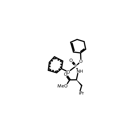 COC(=O)[C@H](CC(C)C)NP(=O)(OC1=CCCC=C1)Oc1ccccc1